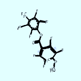 C=C(OO)/C(F)=C(F)\C(C(=O)Oc1c(F)c(F)c(C(F)(F)F)c(F)c1F)=C(\F)CF